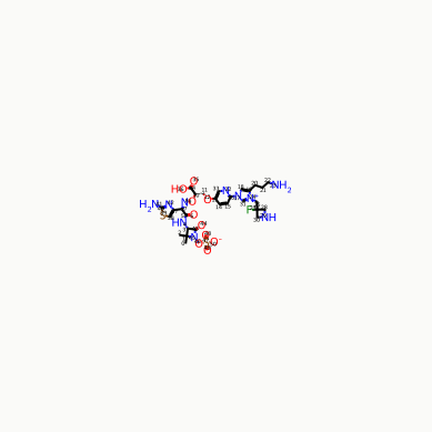 CC1(C)C(NC(=O)/C(=N\O[C@@H](COc2ccc(-n3cc(CCCN)[n+](CC4(F)CNC4)c3)nc2)C(=O)O)c2csc(N)n2)C(=O)N1OS(=O)(=O)[O-]